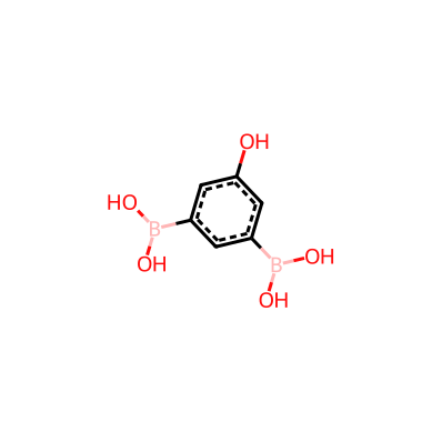 OB(O)c1cc(O)cc(B(O)O)c1